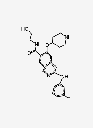 O=C(NCCO)c1cc2cnc(Nc3cccc(F)c3)nc2cc1OC1CCNCC1